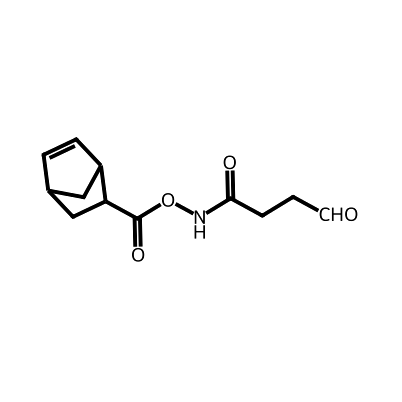 O=CCCC(=O)NOC(=O)C1CC2C=CC1C2